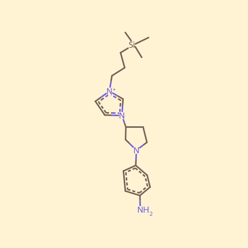 C[Si](C)(C)CCC[n+]1ccn(C2CCN(c3ccc(N)cc3)C2)c1